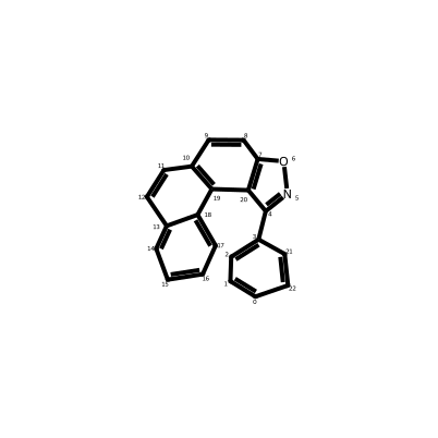 c1ccc(-c2noc3ccc4ccc5ccccc5c4c23)cc1